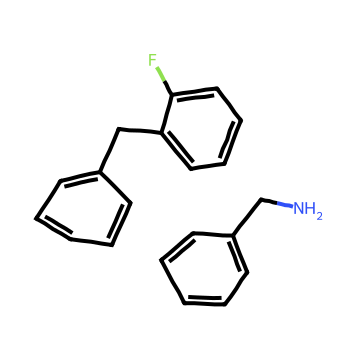 Fc1ccccc1Cc1ccccc1.NCc1ccccc1